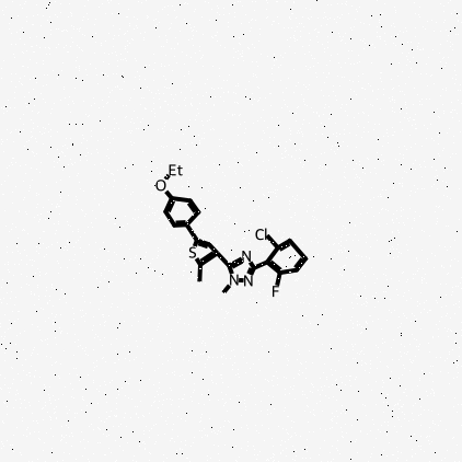 CCOc1ccc(-c2cc(-c3nc(-c4c(F)cccc4Cl)nn3C)c(C)s2)cc1